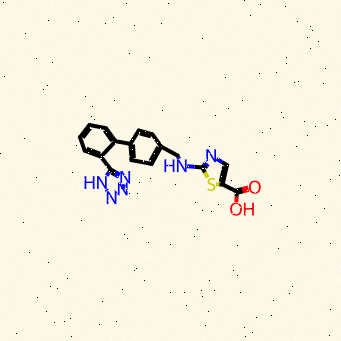 O=C(O)c1cnc(NCc2ccc(-c3ccccc3-c3nnn[nH]3)cc2)s1